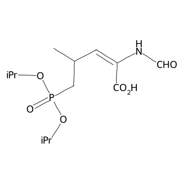 CC(/C=C(/NC=O)C(=O)O)CP(=O)(OC(C)C)OC(C)C